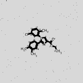 CCOC(=O)c1cn(-c2cc(Cl)ccc2C)c(-c2ccc(C)c(C)c2)n1